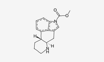 COC(=O)n1cc2c3c(cccc31)[C@H]1CCCN[C@@H]1C2